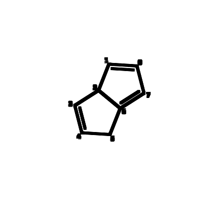 C1=CC2C=CCC2=C1